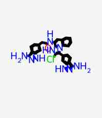 Nc1n[nH]c2cc(CC(=O)NC(=Cc3ccccc3)c3nc(-c4ccc5c(N)n[nH]c5c4)c(Cl)[nH]3)ccc12